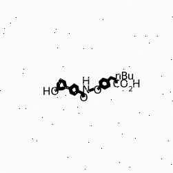 CCCCC(Cc1ccc(OCCNC(=O)c2ccc(-c3cccc(O)c3)cc2)cc1)C(=O)O